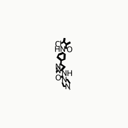 C=C(Cl)C(=C)C(=O)Nc1ccc(-c2cc(NC(=O)N3CCN(C)CC3)n(C)n2)cc1